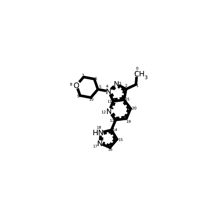 CCc1nn(C2CCOCC2)c2nc(-c3ccn[nH]3)ccc12